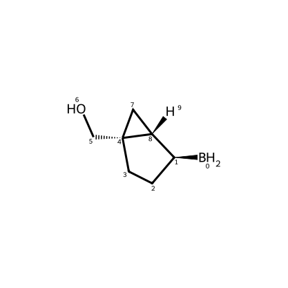 B[C@H]1CC[C@@]2(CO)C[C@H]12